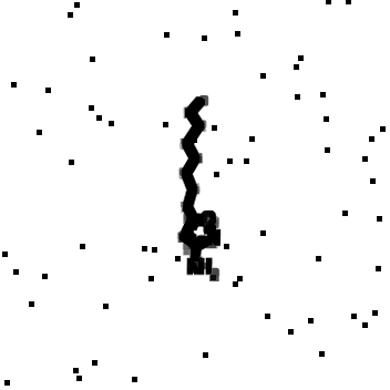 CCCCCCCCc1cc(N)no1